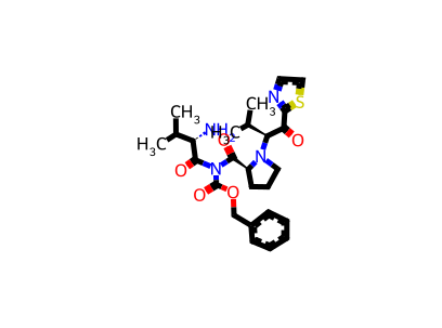 CC(C)[C@H](N)C(=O)N(C(=O)OCc1ccccc1)C(=O)[C@@H]1CCCN1[C@H](C(=O)c1nccs1)C(C)C